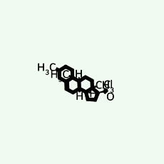 CC1CC[C@@]2(C)C(=CC[C@H]3[C@@H]4CC[C@H](C(=O)Cl)[C@@]4(C)CC[C@@H]32)C1